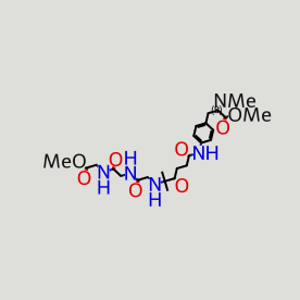 CN[C@@H](Cc1ccc(NC(=O)CCC(=O)C(C)(C)NCC(=O)NCC(=O)NCC(=O)OC)cc1)C(=O)OC